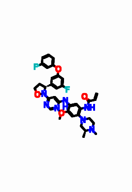 C=CC(=O)Nc1cc(Nc2cc(N3OCC[C@@H]3c3cc(F)cc(Oc4cccc(F)c4)c3)ncn2)c(OC)cc1N1CCN(C)[C@@H](C)C1